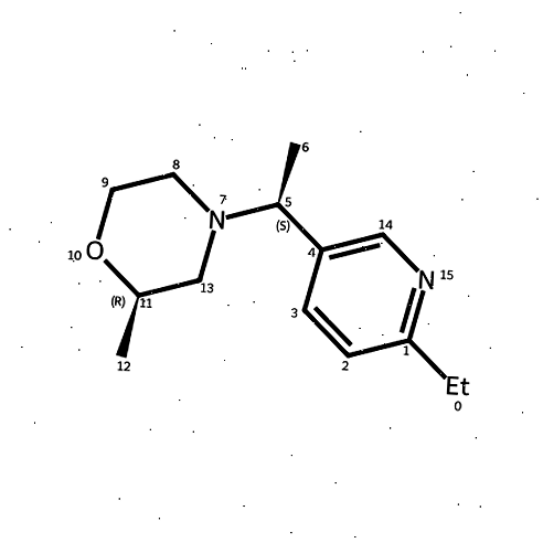 CCc1ccc([C@H](C)N2CCO[C@H](C)C2)cn1